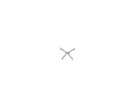 [I][Hg]([I])([I])[I]